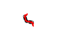 Cc1c(C)c2c(c(C)c1OC(=O)CCC(=O)OCCC1CCN(CCCOC(=O)CCN3CCC(CCOC(=O)CCC(=O)Oc4c(C)c(C)c5c(c4C)CCC(C)(CCCC(C)CCCC(C)CCCC(C)C)O5)CC3)CC1)CCC(C)(CCCC(C)CCCC(C)CCCC(C)C)O2